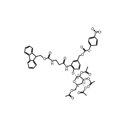 CC(=O)OC[C@H]1O[C@H](Oc2ccc(COC(=O)Oc3ccc([N+](=O)[O-])cc3)cc2NC(=O)CCNC(=O)OCC2c3ccccc3-c3ccccc32)[C@@H](OC(C)=O)[C@@H](OC(C)=O)[C@@H]1OC(C)=O